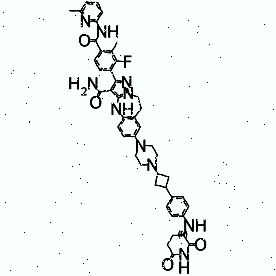 Cc1cccc(NC(=O)c2ccc(-c3nn4c(c3C(N)=O)Nc3ccc(N5CCN(C6CC(c7ccc(N[C@@H]8CCC(=O)NC8=O)cc7)C6)CC5)cc3CC4)c(F)c2C)n1